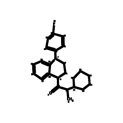 CC(C(=O)N1CCN(c2ccc(F)cc2)c2ccccc21)N1CCCCC1